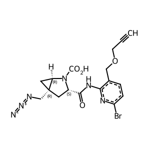 C#CCOCc1ccc(Br)nc1NC(=O)[C@@H]1C[C@@]2(CN=[N+]=[N-])C[C@H]2N1C(=O)O